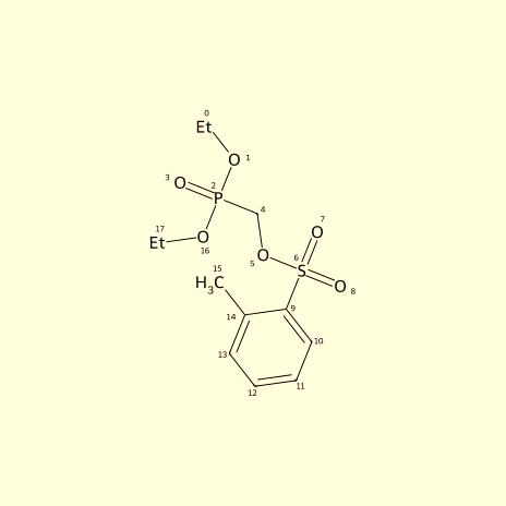 CCOP(=O)(COS(=O)(=O)c1ccccc1C)OCC